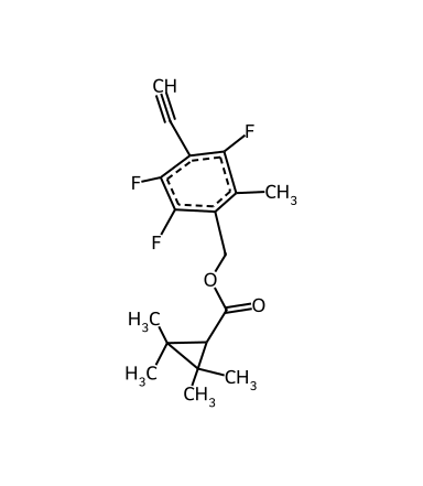 C#Cc1c(F)c(C)c(COC(=O)C2C(C)(C)C2(C)C)c(F)c1F